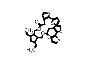 C=CC1CC(C=C)C(COC(=O)Cc2ccsc2-c2cccs2)C1COC(=O)Cc1ccsc1-c1cccs1